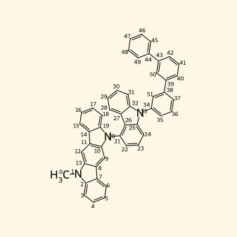 Cn1c2ccccc2c2cc3c(cc21)c1ccccc1n3-c1cccc2c1c1ccccc1n2-c1cccc(-c2cccc(-c3ccccc3)c2)c1